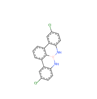 Clc1ccc2c(c1)-c1cccc3c1B(N2)Nc1ccc(Cl)cc1-3